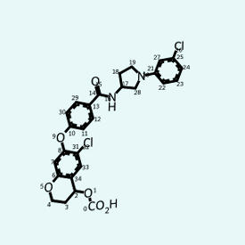 O=C(O)OC1CCOc2cc(Oc3ccc(C(=O)NC4CCN(c5cccc(Cl)c5)C4)cc3)c(Cl)cc21